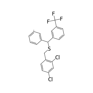 FC(F)(F)c1cccc(C(SCc2ccc(Cl)cc2Cl)c2c[c]ccc2)c1